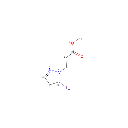 COC(=O)CCN1N=CCC1I